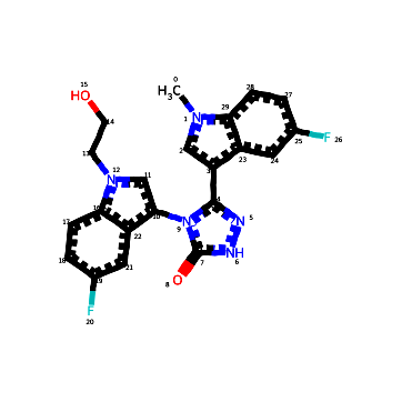 Cn1cc(-c2n[nH]c(=O)n2-c2cn(CCO)c3ccc(F)cc23)c2cc(F)ccc21